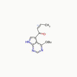 C/C=C\C(=O)c1c[nH]c2ncnc(OCC(C)C)c12